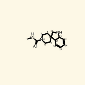 CNC(=O)N1CCC2(CC1)CNC1C=CC=CC12